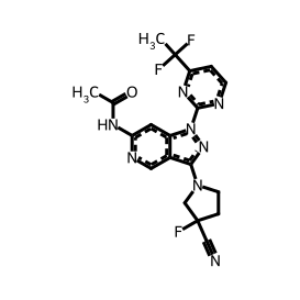 CC(=O)Nc1cc2c(cn1)c(N1CCC(F)(C#N)C1)nn2-c1nccc(C(C)(F)F)n1